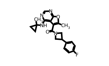 Cc1oc2ncnc(NC3(C)CC3)c2c1C(=O)N1CC(c2ccc(F)cc2)C1